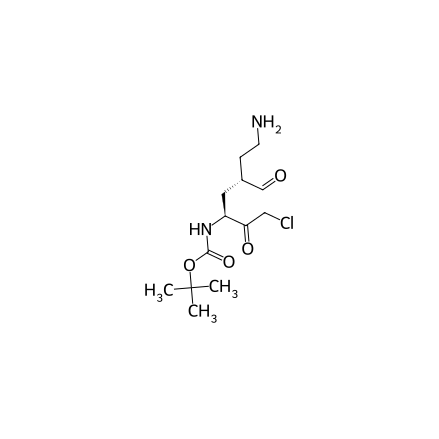 CC(C)(C)OC(=O)N[C@@H](C[C@@H](C=O)CCN)C(=O)CCl